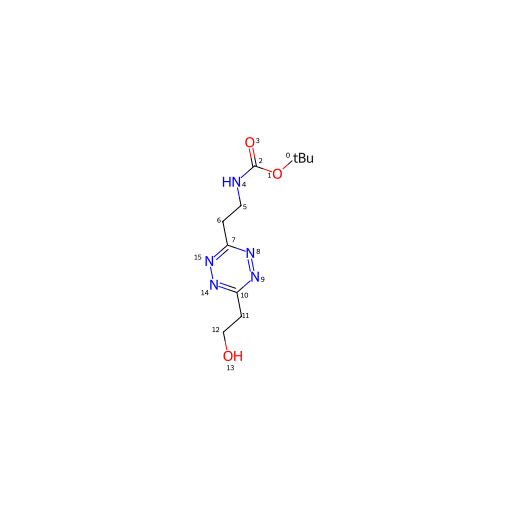 CC(C)(C)OC(=O)NCCc1nnc(CCO)nn1